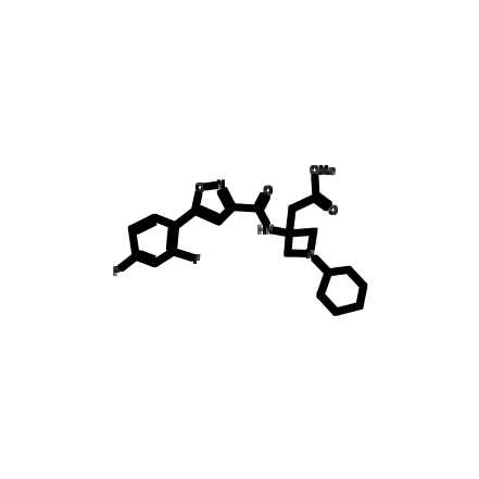 COC(=O)CC1(NC(=O)c2cc(-c3ccc(F)cc3F)on2)CN(C2CCCCC2)C1